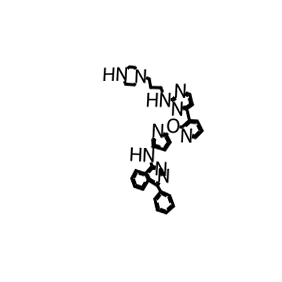 c1ccc(-c2nnc(Nc3ccc(Oc4ncccc4-c4ccnc(NCCCN5CCNCC5)n4)nc3)c3ccccc23)cc1